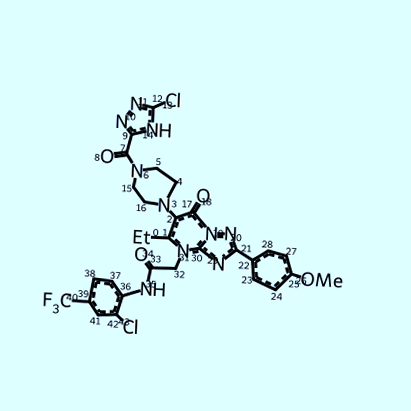 CCc1c(N2CCN(C(=O)c3nnc(Cl)[nH]3)CC2)c(=O)n2nc(-c3ccc(OC)cc3)nc2n1CC(=O)Nc1ccc(C(F)(F)F)cc1Cl